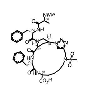 CN[C@@H](C)C(=O)N[C@@H](Cc1ccccc1)C(=O)N1C[C@@H]2C[C@H]1C(=O)N[C@@H](Cc1ccccc1)C(=O)N[C@H](C(=O)O)CCCCN(S(C)(=O)=O)Cc1cn2nn1